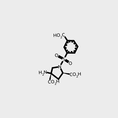 N[C@@]1(C(=O)O)C[C@H](C(=O)O)N(S(=O)(=O)c2cccc(C(=O)O)c2)C1